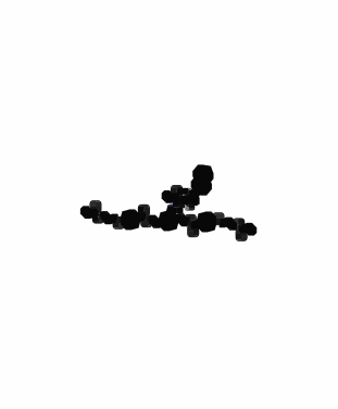 C=CC(=O)OCCCOc1ccc(C(=O)OCCc2ccc(CCOC(=O)c3ccc(OCCCOC(=O)C=C)cc3)c(/C=N/N(C(=O)C=C)c3nc(-c4ccc5ccccc5c4)cs3)c2)cc1